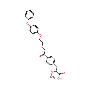 CO[C@@H](Cc1ccc(C(=O)CCCCOc2ccc(Oc3ccccc3)cc2)cc1)C(=O)O